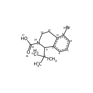 CC(C)(C)C1c2cccc(Br)c2CCN1C(=O)O